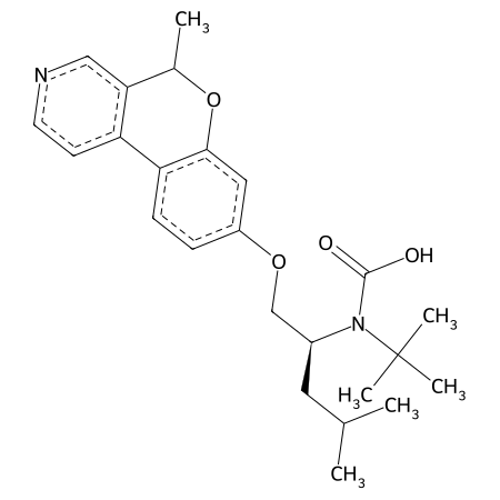 CC(C)C[C@@H](COc1ccc2c(c1)OC(C)c1cnccc1-2)N(C(=O)O)C(C)(C)C